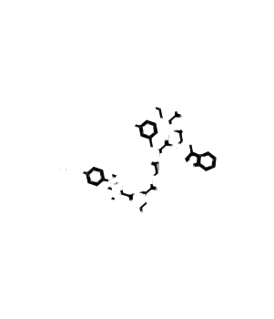 COc1ccc(S(=O)(=O)N[C@@H](CC(=O)O)C(=O)N[C@@H](CCC(=O)O)C(=O)NCC(=O)N[C@@H](Cc2cccc(F)c2)C(=O)N[C@@H](Cc2c[nH]c3ccccc23)C(=O)N[C@@H](CCC(=O)O)C(N)=O)cc1